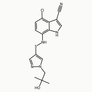 CC(C)(O)Cn1cc(SNc2ccc(Cl)c3c(C#N)c[nH]c23)cn1